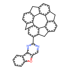 c1ccc2c(c1)oc1cnc(-c3cc4c5c6c3Cc3ccc7c(c3-6)-c3c(ccc6c3-c3c(ccc(c3-5)C4)C6)C7)nc12